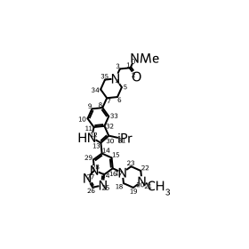 CNC(=O)CN1CCC(c2ccc3[nH]c(-c4cc(N5CCN(C)CC5)c5ncnn5c4)c(C(C)C)c3c2)CC1